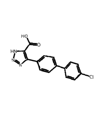 O=C(O)c1[nH]nnc1-c1ccc(-c2ccc(Cl)cc2)cc1